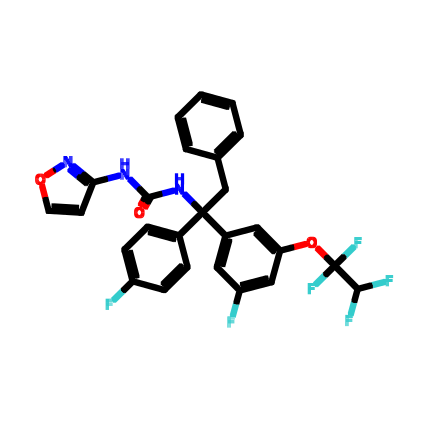 O=C(Nc1ccon1)NC(Cc1ccccc1)(c1ccc(F)cc1)c1cc(F)cc(OC(F)(F)C(F)F)c1